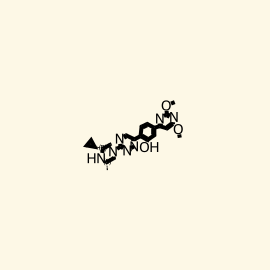 COc1cc(-c2ccc(-c3cnc(N4C[C@@H](C5CC5)N[C@@H](C)C4)nn3)c(O)c2)nc(OC)n1